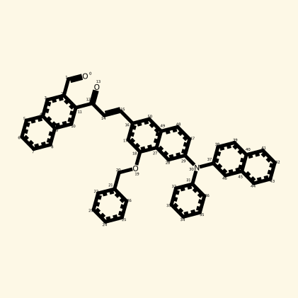 O=Cc1cc2ccccc2cc1C(=O)C=Cc1cc(OCc2ccccc2)c2cc(N(c3ccccc3)c3ccc4ccccc4c3)ccc2c1